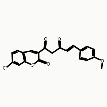 COc1ccc(C=CC(=O)CC(=O)c2cc3ccc(Cl)cc3sc2=O)cc1